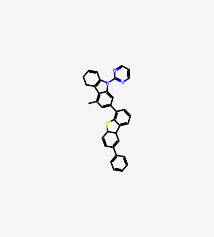 Cc1cc(-c2cccc3c2SC2C=CC(c4ccccc4)=CC32)cc2c1c1c(n2-c2ncccn2)C=CCC1